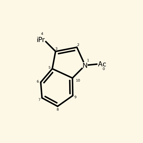 CC(=O)n1cc(C(C)C)c2ccccc21